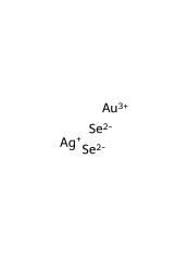 [Ag+].[Au+3].[Se-2].[Se-2]